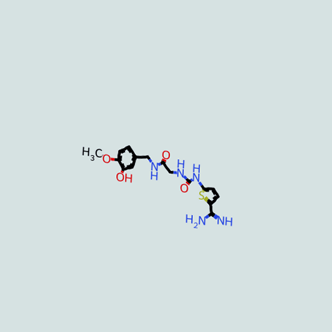 COc1ccc(CNC(=O)CNC(=O)Nc2ccc(C(=N)N)s2)cc1O